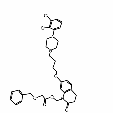 O=C(COCc1ccccc1)OCN1C(=O)CCc2ccc(OCCCCN3CCN(c4cccc(Cl)c4Cl)CC3)cc21